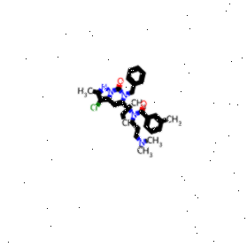 CCC(C)(c1cc2c(Cl)c(C)nn2c(=O)n1Cc1ccccc1)N(CCCN(C)C)C(=O)c1cccc(C)c1